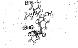 Cc1c(-c2cc3ccc(Br)cc3n2CC2CC2)oc2cc(C(=O)N3CC4CCC3[C@@H]4NC(=O)OC(C)(C)C)ccc12